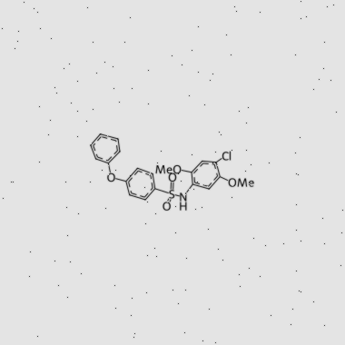 COc1cc(NS(=O)(=O)c2ccc(Oc3ccccc3)cc2)c(OC)cc1Cl